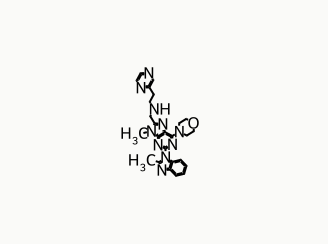 Cc1nc2ccccc2n1-c1nc(N2CCOCC2)c2nc(CNCCc3cnccn3)n(C)c2n1